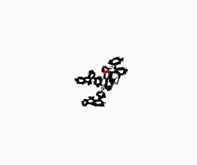 CC1(C)c2ccccc2-c2cccc(-c3ccc(N(c4ccc(-c5cccc6c5C(C)(C)c5ccccc5-6)cc4)c4ccc5c6c(cccc46)-c4c(cccc4N(c4ccccc4)c4ccccc4)O5)cc3)c21